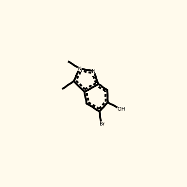 Cc1c2cc(Br)c(O)cc2nn1C